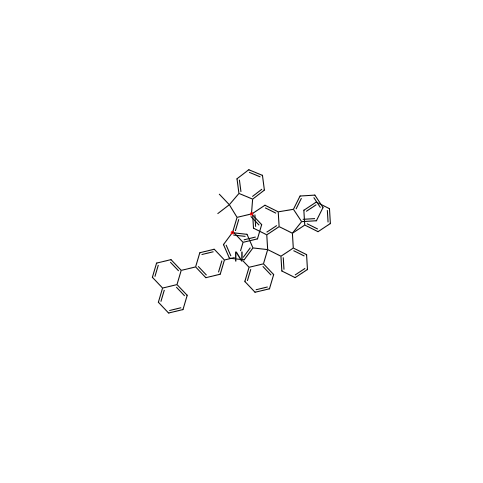 CC1(C)c2ccccc2-c2ccc(N(c3ccc(-c4cccc5ccccc45)cc3)c3ccccc3C3(c4ccccc4)c4ccccc4C4(c5ccccc5)c5ccccc5-c5cccc3c54)cc21